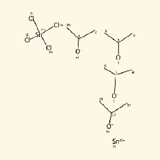 CC(C)[O-].CC(C)[O-].CC(C)[O-].CC(C)[O-].[Cl][Sn]([Cl])([Cl])[Cl].[Sn+4]